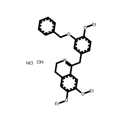 CCOc1cc2c(cc1OCC)C(Cc1ccc(OCC)c(OCc3ccccc3)c1)=NCC2.Cl.Cl